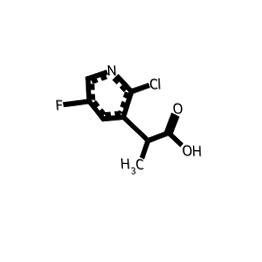 CC(C(=O)O)c1cc(F)cnc1Cl